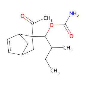 CCC(C)C(OC(N)=O)C1(C(C)=O)CC2C=CC1C2